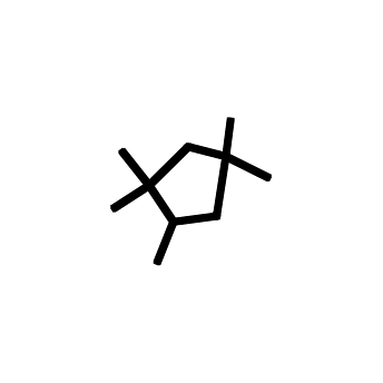 CC1CC(C)(C)CC1(C)C